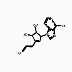 C=CCC1=CC(n2cnc3c(N)nccc32)C(O)C1O